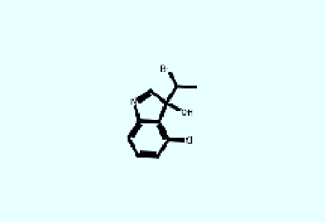 C[C](Br)C1(O)C=Nc2cccc(Cl)c21